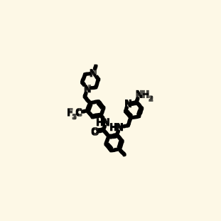 Cc1ccc(C(=O)Nc2ccc(CN3CCN(C)CC3)c(C(F)(F)F)c2)c(NCc2ccc(N)nc2)c1